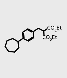 CCOC(=O)C(Cc1ccc(C2CCCCCC2)cc1)C(=O)OCC